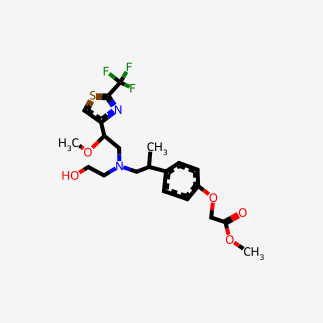 COC(=O)COc1ccc(C(C)CN(CCO)CC(OC)c2csc(C(F)(F)F)n2)cc1